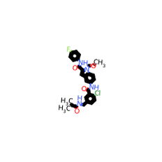 COCn1c(C(=O)Nc2ccc(F)cc2)cc2cc(NC(=O)c3cc(CNC(=O)C(C)C)ccc3Cl)ccc21